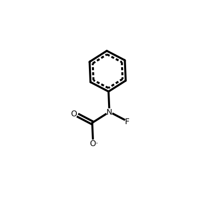 [O]C(=O)N(F)c1ccccc1